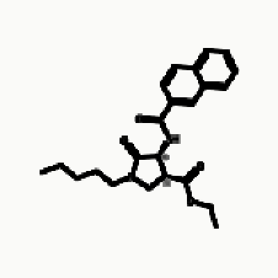 CCCCCN1C[C@H](C(=O)OCC)[C@H](NC(=O)c2ccc3ccccc3c2)C1=O